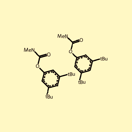 CNC(=O)Oc1cc(C(C)(C)C)cc(C(C)(C)C)c1.CNC(=O)Oc1cc(C(C)(C)C)cc(C(C)(C)C)c1